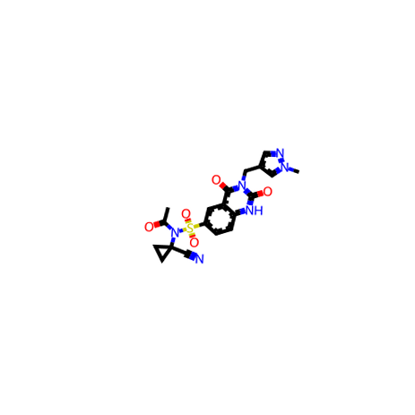 CC(=O)N(C1(C#N)CC1)S(=O)(=O)c1ccc2[nH]c(=O)n(Cc3cnn(C)c3)c(=O)c2c1